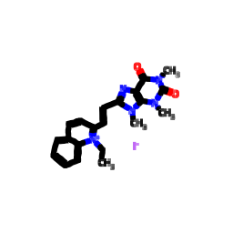 CC[n+]1c(/C=C/c2nc3c(=O)n(C)c(=O)n(C)c3n2C)ccc2ccccc21.[I-]